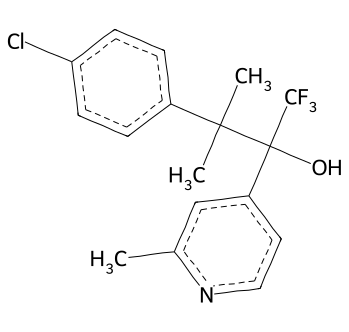 Cc1cc(C(O)(C(F)(F)F)C(C)(C)c2ccc(Cl)cc2)ccn1